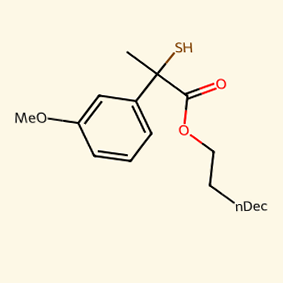 CCCCCCCCCCCCOC(=O)C(C)(S)c1cccc(OC)c1